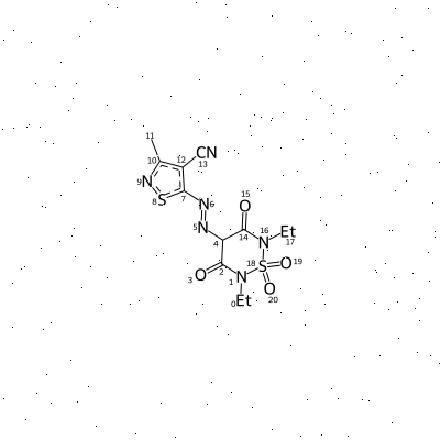 CCN1C(=O)C(N=Nc2snc(C)c2C#N)C(=O)N(CC)S1(=O)=O